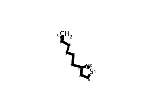 C=CCCCCC1CCSS1